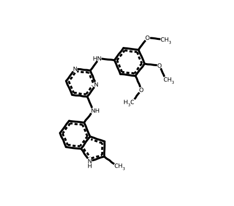 COc1cc(Nc2nccc(Nc3cccc4[nH]c(C)cc34)n2)cc(OC)c1OC